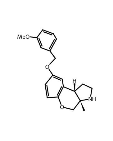 COc1cccc(COc2ccc3c(c2)[C@@H]2CCN[C@]2(C)CO3)c1